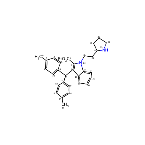 CCOC(=O)c1c(C(c2ccc(C)cc2)c2ccc(C)cc2)c2ccccc2n1CCC1CCCN1